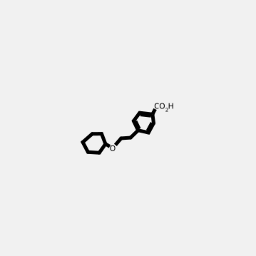 O=C(O)c1ccc(CCOC2CCCCC2)cc1